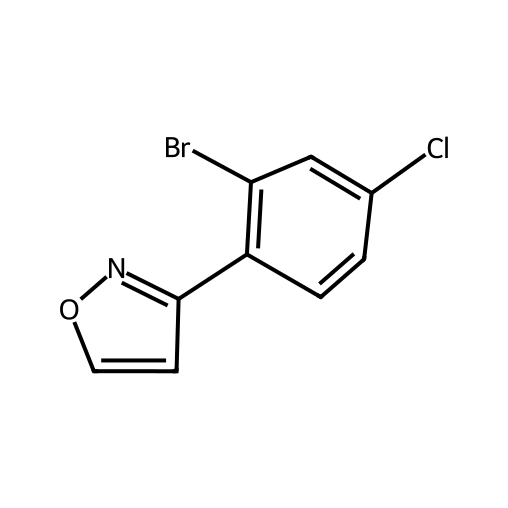 Clc1ccc(-c2ccon2)c(Br)c1